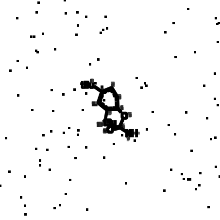 CC(C)(C)c1ccc(OC([NH])=O)c(C(C)(C)C)c1